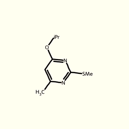 CSc1nc(C)cc(OC(C)C)n1